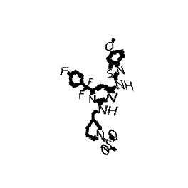 COc1ccc2nc(Nc3cc(C(F)(F)c4ccc(F)cc4)nc(NCC4CCCN(S(C)(=O)=O)C4)n3)sc2c1